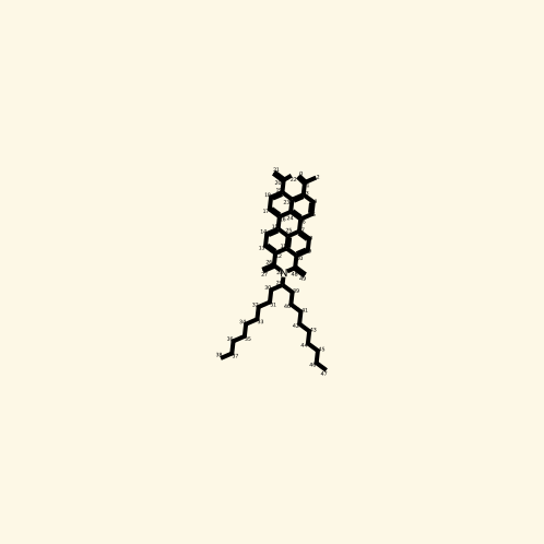 C=C(C)c1ccc2c3ccc4c5c(ccc(c6ccc(C(=C)C)c1c26)c53)C(=C)N(C(CCCCCCCCC)CCCCCCCCC)C4=C